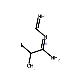 CC(I)/C(N)=N\C=N